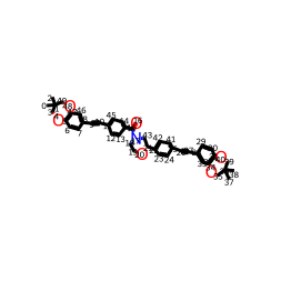 CC1(C)COc2ccc(C#Cc3ccc(C(=O)N4CCOC(c5ccc(C#Cc6ccc7c(c6)OCC(C)(C)CO7)cc5)C4)cc3)cc2OC1